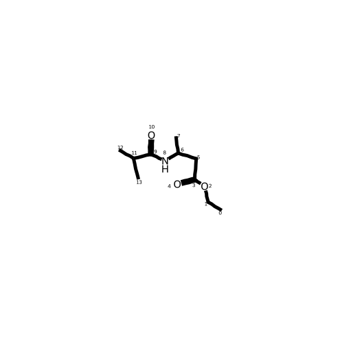 CCOC(=O)CC(C)NC(=O)C(C)C